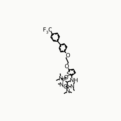 CN(C)P(=O)(C(Nc1ccc(OCCOc2ccc(-c3ccc(C(F)(F)F)cc3)cc2)s1)P(=O)(N(C)C)N(C)C)N(C)C